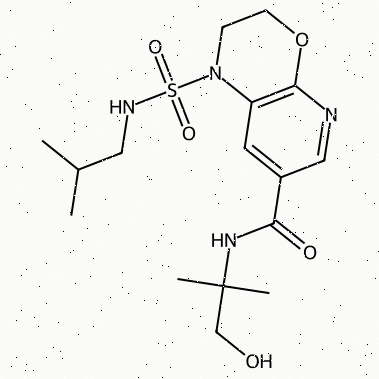 CC(C)CNS(=O)(=O)N1CCOc2ncc(C(=O)NC(C)(C)CO)cc21